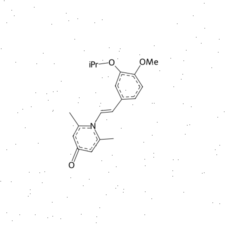 COc1ccc(C=Cn2c(C)cc(=O)cc2C)cc1OC(C)C